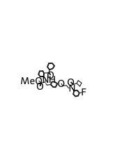 COC(=O)[C@H](Cc1ccc(OCCCN(C(=O)C2CCC2)c2cccc(F)c2)cc1)Nc1ccccc1C(=O)c1ccccc1